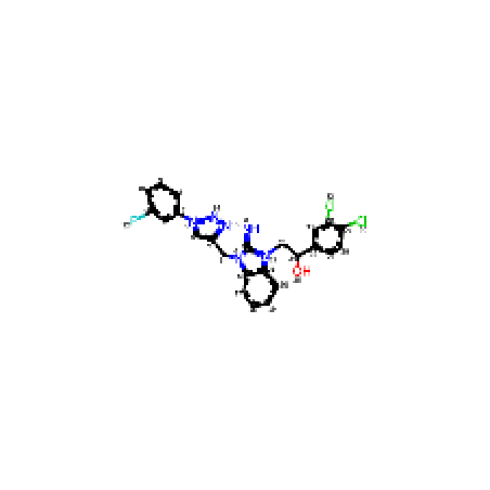 N=c1n(Cc2cn(-c3cccc(F)c3)nn2)c2ccccc2n1CC(O)c1ccc(Cl)c(Cl)c1